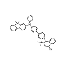 CC1(C)c2ccccc2-c2ccc(N(c3ccccc3)c3ccc(-c4ccc5c(c4)C(C)(C)c4cc(Br)c6ccccc6c4-5)cc3)cc21